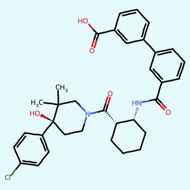 CC1(C)CN(C(=O)[C@H]2CCCC[C@H]2NC(=O)c2cccc(-c3cccc(C(=O)O)c3)c2)CC[C@]1(O)c1ccc(Cl)cc1